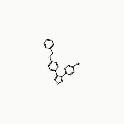 Oc1ccc(-c2cocc2-c2ccc(OCc3ccccc3)cc2)cc1